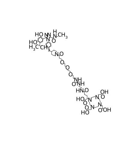 CCNC(=O)c1nnc(-c2cc(C(C)C)c(O)cc2O)n1-c1ccc(CC2CCN(C(=O)CCOCCOCCOCCNC(=O)NCCNC(=O)CCC(C(=O)O)N3CCN(CC(=O)O)CCN(CC(=O)O)CCN(CC(=O)O)CC3)CC2)cc1